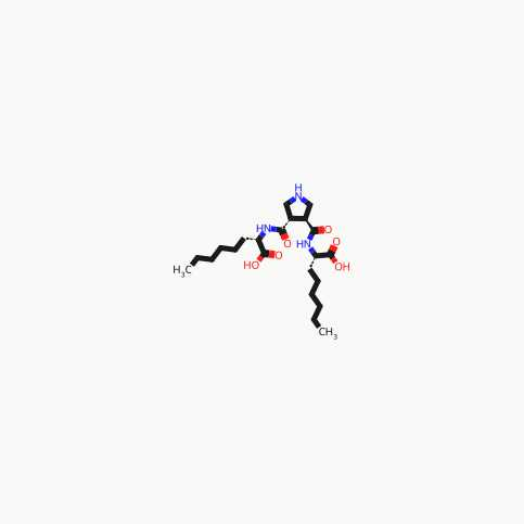 CCCCCC[C@H](NC(=O)[C@@H]1CNC[C@H]1C(=O)N[C@@H](CCCCCC)C(=O)O)C(=O)O